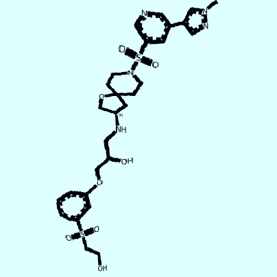 Cn1cc(-c2cncc(S(=O)(=O)N3CCC4(CC3)C[C@@H](NCC(O)COc3cccc(S(=O)(=O)CCO)c3)CO4)c2)cn1